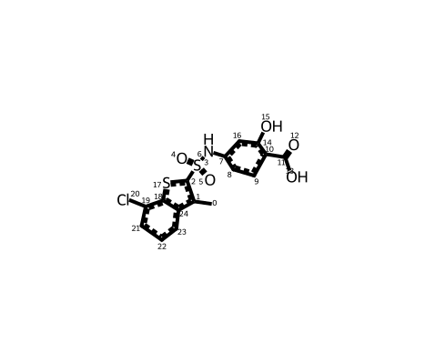 Cc1c(S(=O)(=O)Nc2ccc(C(=O)O)c(O)c2)sc2c(Cl)cccc12